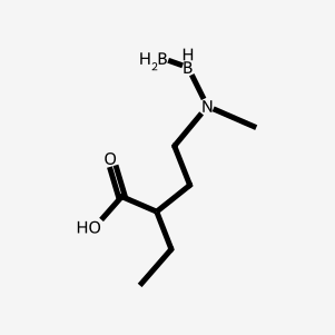 BBN(C)CCC(CC)C(=O)O